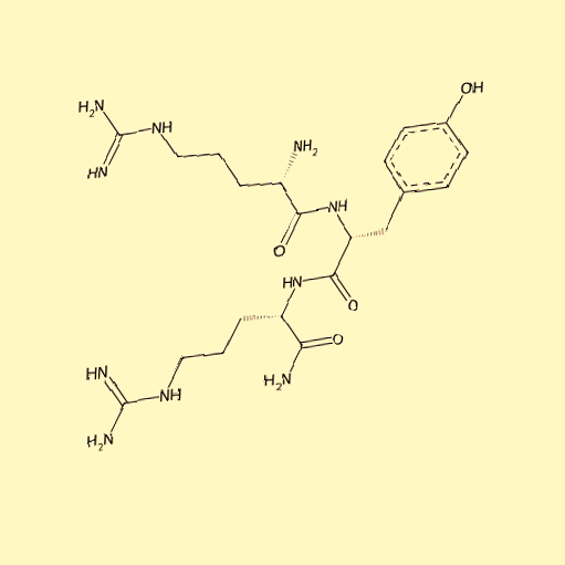 N=C(N)NCCC[C@H](NC(=O)[C@@H](Cc1ccc(O)cc1)NC(=O)[C@@H](N)CCCNC(=N)N)C(N)=O